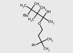 CC(C)C(C)(C)CCOC(C)(S)C(C)(C)C(C)(C)C(C)(C)C